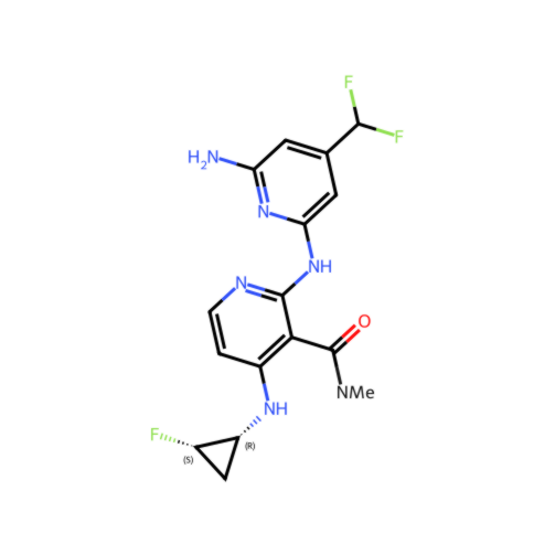 CNC(=O)c1c(N[C@@H]2C[C@@H]2F)ccnc1Nc1cc(C(F)F)cc(N)n1